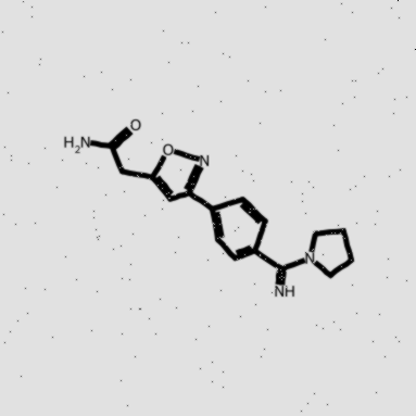 N=C(c1ccc(-c2cc(CC(N)=O)on2)cc1)N1CCCC1